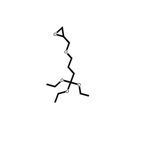 CCOC(CCCOCC1CO1)(OCC)OCC